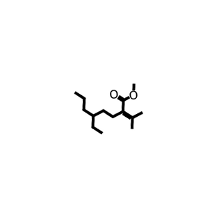 CCCC(CC)CCC(C(=O)OC)=C(C)C